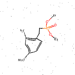 CCOP(=O)(Cc1ccc(OC)cc1C)OCC